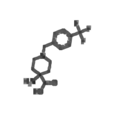 NC1(C(=O)O)CCN(Cc2ccc(C(F)(F)F)cc2)CC1